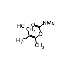 CNC(=O)OC(C)=C(C)C.Cl